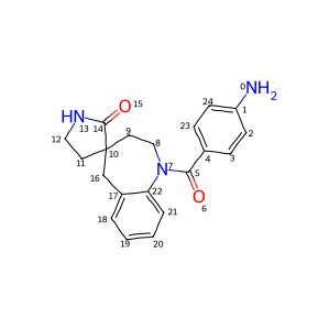 Nc1ccc(C(=O)N2CCC3(CCNC3=O)Cc3ccccc32)cc1